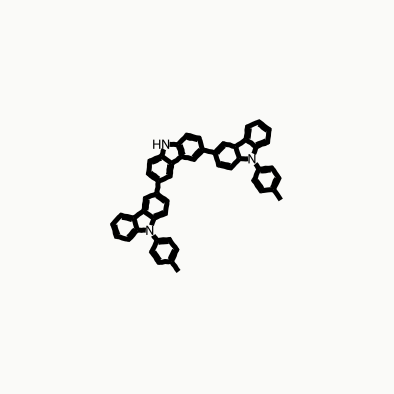 Cc1ccc(N2c3ccccc3C3C=C(c4ccc5[nH]c6ccc(-c7ccc8c(c7)c7ccccc7n8-c7ccc(C)cc7)cc6c5c4)C=CC32)cc1